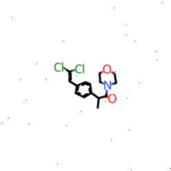 CC(C(=O)N1CCOCC1)c1ccc(C=C(Cl)Cl)cc1